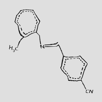 Cc1ccccc1N=Cc1ccc(C#N)cc1